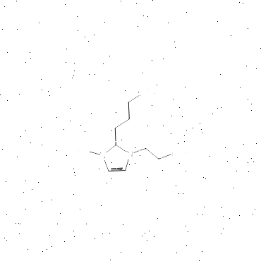 CCCCCCCCCCCCCC1N(CCCCCCCC)C=CN1CCCCCCCCCCCC